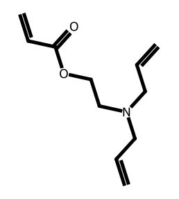 C=CCN(CC=C)CCOC(=O)C=C